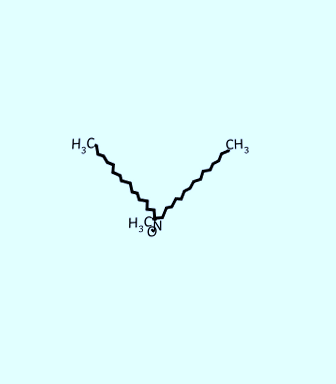 CCCCCCCCCCCCCCCCC(C)(CCCCCCCCCCCCCCCC)N=O